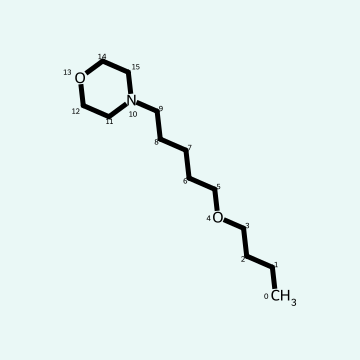 CCCCOCCCCCN1CCOCC1